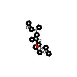 c1ccc(-c2ccccc2N(c2ccc3c(c2)oc2c4ccc(N(c5ccccc5)c5ccc6oc7ccccc7c6c5)cc4c4ccccc4c32)c2cccc3c2oc2ccccc23)cc1